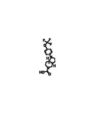 O=C(O)N1CC[C@@H]2[C@@H](CCN2c2ccc(OC(F)(F)F)cc2)C1